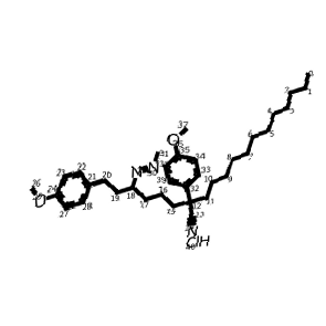 CCCCCCCCCCCCC(C#N)(CCCC(CCc1ccc(OC)cc1)N=NC)c1ccc(OC)cc1.Cl